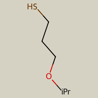 CC(C)OCCCS